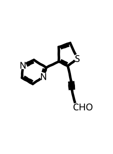 O=CC#Cc1sccc1-c1cnccn1